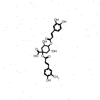 Cc1cc(/C=C/C(=O)OC2(C(=O)O)C[C@@H](O)C(OC(=O)/C=C/c3ccc(O)c(O)c3)[C@H](O)C2)ccc1O